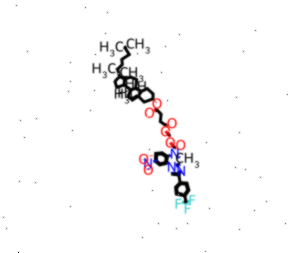 CC(C)CCC[C@@H](C)C1CC[C@H]2[C@@H]3CC=C4C[C@@H](OC(=O)CCC(=O)OCOC(=O)N(C)c5ccc([N+](=O)[O-])cc5-n5cnc(-c6ccc(C(F)(F)F)cc6)c5)CC[C@]4(C)[C@H]3CC[C@]12C